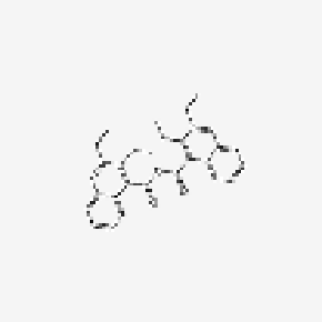 CCc1cc2ccccc2c(C(=O)OC(=O)c2c(CC)c(CC)cc3ccccc23)c1CC